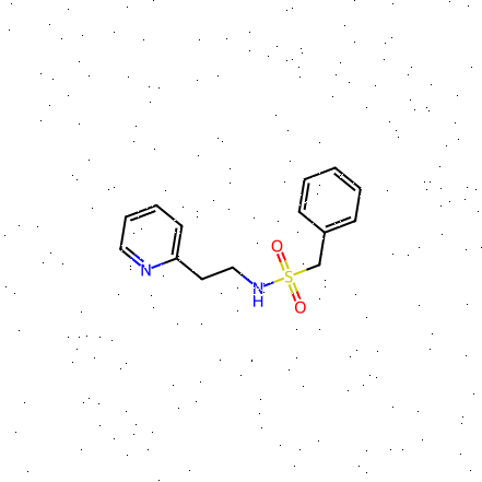 O=S(=O)(Cc1ccccc1)NCCc1ccccn1